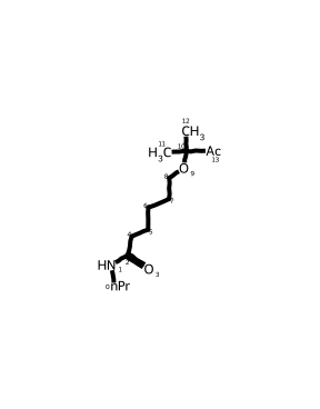 CCCNC(=O)CCCCCOC(C)(C)C(C)=O